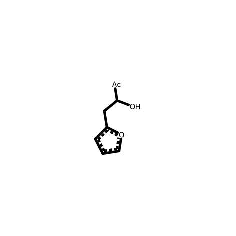 CC(=O)C(O)Cc1ccco1